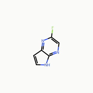 Fc1cnc2[nH]ccc2n1